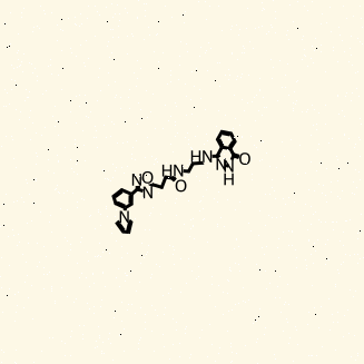 O=C(CCc1nc(-c2cccc(-n3cccc3)c2)no1)NCCCNc1n[nH]c(=O)c2ccccc12